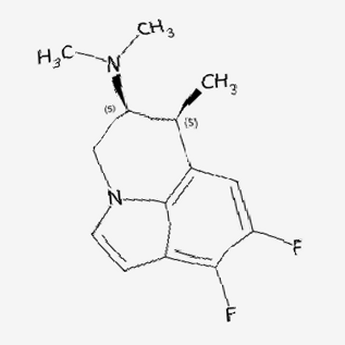 C[C@H]1c2cc(F)c(F)c3ccn(c23)C[C@H]1N(C)C